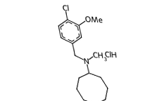 COc1cc(CN(C)C2CCCCCCC2)ccc1Cl.Cl